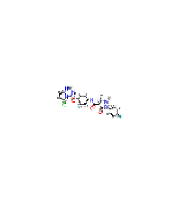 Cc1c(C(=O)Nc2ccc(Oc3ncnc4ccc(Cl)n34)c(F)c2)c(=O)n(-c2ccc(F)cc2)n1C